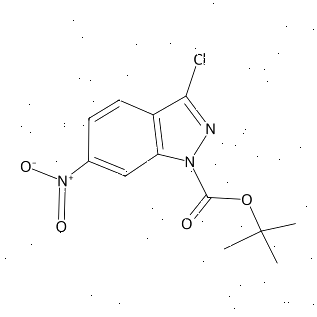 CC(C)(C)OC(=O)n1nc(Cl)c2ccc([N+](=O)[O-])cc21